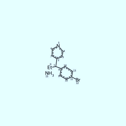 CCC(c1ccncc1)c1ccc(Br)cc1.N